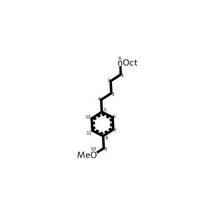 CCCCCCCCCCCCc1ccc(COC)cc1